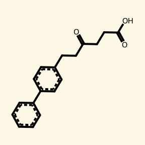 O=C(O)CCC(=O)CCc1ccc(-c2ccccc2)cc1